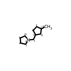 CC1CCC(CN2CCCC2)C1